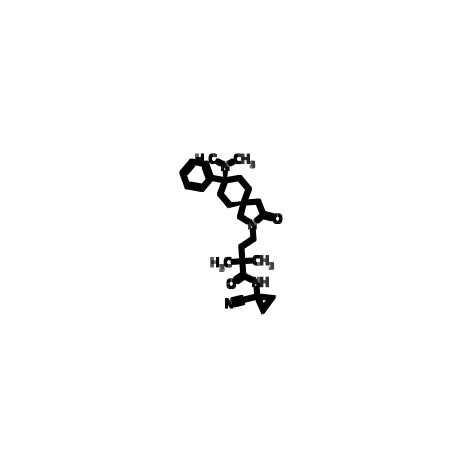 CN(C)[C@]1(c2ccccc2)CC[C@@]2(CC1)CC(=O)N(CCC(C)(C)C(=O)NC1(C#N)CC1)C2